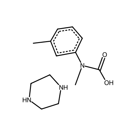 C1CNCCN1.Cc1cccc(N(C)C(=O)O)c1